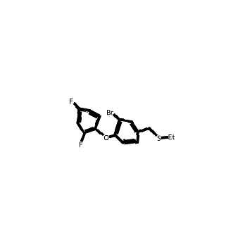 CCSCc1ccc(Oc2ccc(F)cc2F)c(Br)c1